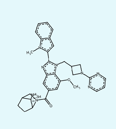 COc1cc(C(=O)N2CC3CCC2[C@@H]3N)cc2nc(-c3cc4ccccc4n3C)n(CC3CN(c4ncccn4)C3)c12